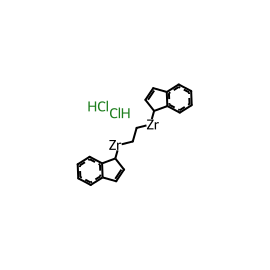 C1=C[CH]([Zr][CH2][CH2][Zr][CH]2C=Cc3ccccc32)c2ccccc21.Cl.Cl